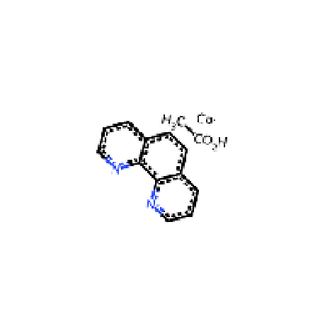 CC(=O)O.[Co].c1cnc2c(c1)ccc1cccnc12